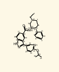 CCN1CC[C@@H](c2ccccc2)[C@H](NC(=O)c2ccc3[nH]nc(-c4ccc(OC(C)C)nc4)c3c2)C1